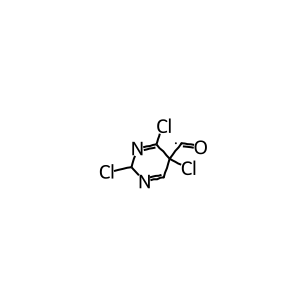 O=[C]C1(Cl)C=NC(Cl)N=C1Cl